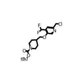 CC(C)(C)OC(=O)N1CCC(COc2cnc(CCl)cc2C(F)F)CC1